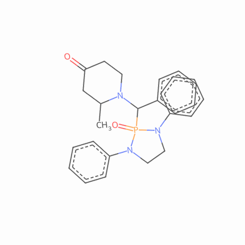 CC1CC(=O)CCN1C(c1ccccc1)P1(=O)N(c2ccccc2)CCN1c1ccccc1